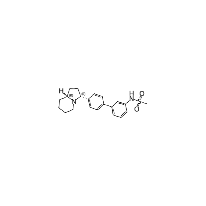 CS(=O)(=O)Nc1cccc(-c2ccc([C@H]3CC[C@H]4CCCCN43)cc2)c1